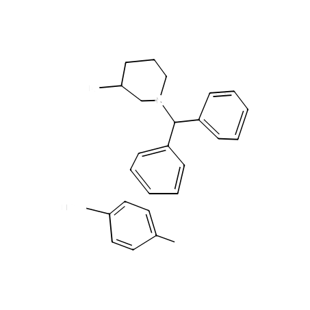 Cc1ccc(S(=O)(=O)O)cc1.OC1CCCN(C(c2ccccc2)c2ccccc2)C1